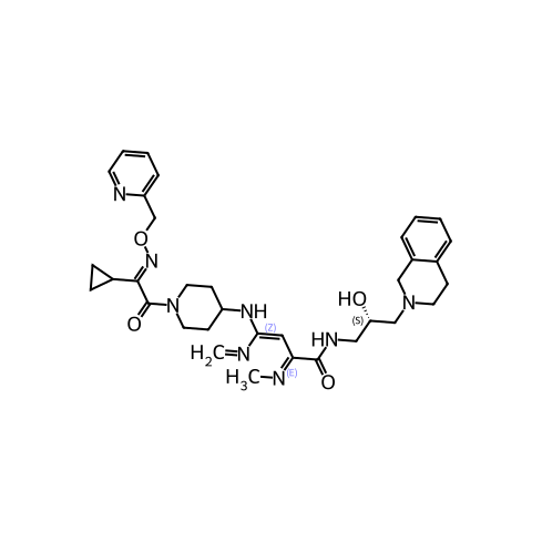 C=N/C(=C\C(=N/C)C(=O)NC[C@H](O)CN1CCc2ccccc2C1)NC1CCN(C(=O)C(=NOCc2ccccn2)C2CC2)CC1